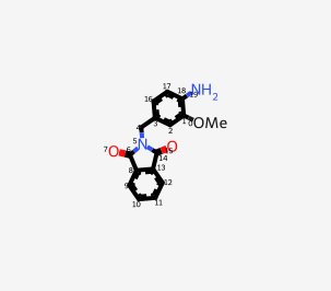 COc1cc(CN2C(=O)c3ccccc3C2=O)ccc1N